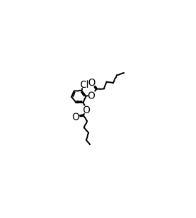 CCCCCC(=O)Oc1cccc(Cl)c1OC(=O)CCCCC